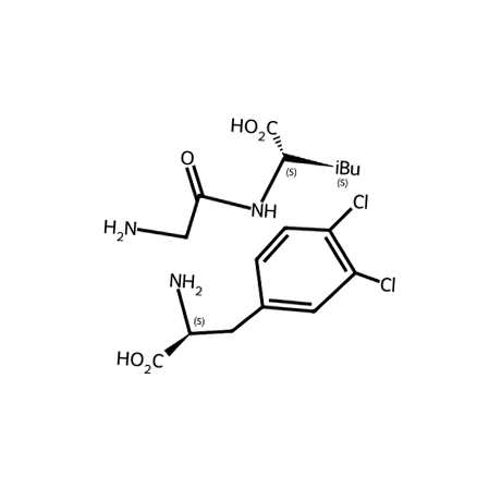 CC[C@H](C)[C@H](NC(=O)CN)C(=O)O.N[C@@H](Cc1ccc(Cl)c(Cl)c1)C(=O)O